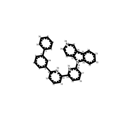 c1ccc(-c2cccc(-c3cccc(-c4cccc(-n5c6ccccc6c6cnccc65)n4)n3)c2)cc1